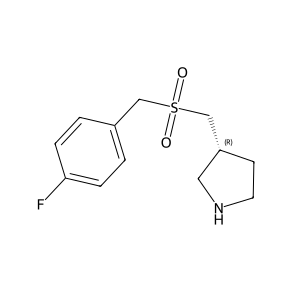 O=S(=O)(Cc1ccc(F)cc1)C[C@@H]1CCNC1